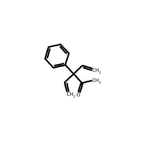 C=CC(C=C)(C(C)=O)c1ccccc1